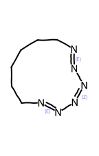 C1CCC/N=N/N=N\N=N\CC1